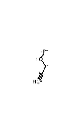 C#CC[O][Pt]